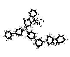 CC1(C)c2ccccc2-c2ccc(N(c3ccc(-c4ccccc4)cc3)c3ccc(-c4cccc(-c5ccc6c(c5)oc5ccccc56)c4)cc3)cc21